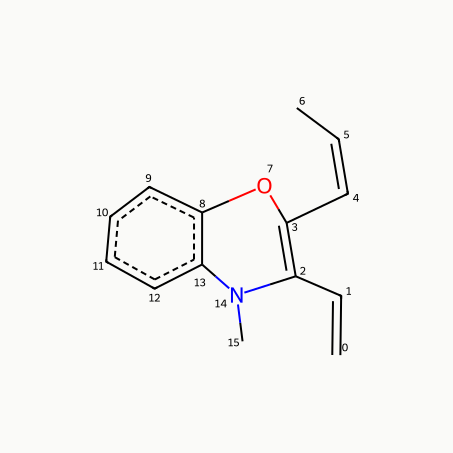 C=CC1=C(/C=C\C)Oc2ccccc2N1C